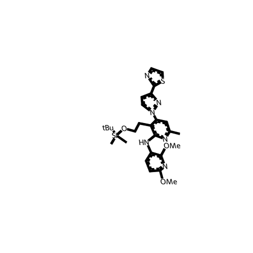 COc1ccc(Nc2nc(C)cc(-n3ccc(-c4nccs4)n3)c2CCO[Si](C)(C)C(C)(C)C)c(OC)n1